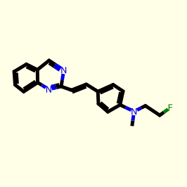 CN(CCF)c1ccc(/C=C/c2ncc3ccccc3n2)cc1